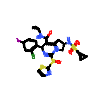 CCNC(=O)C1=C2C[C@H](NS(=O)(=O)C3CC3)CN2C([S+]([O-])c2nccs2)=N[C@H]1c1ccc(I)cc1Cl